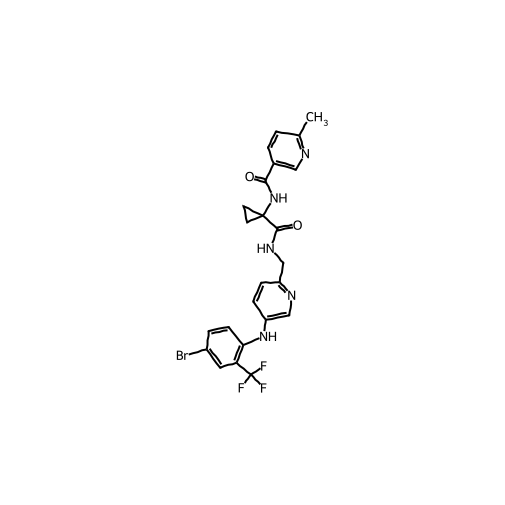 Cc1ccc(C(=O)NC2(C(=O)NCc3ccc(Nc4ccc(Br)cc4C(F)(F)F)cn3)CC2)cn1